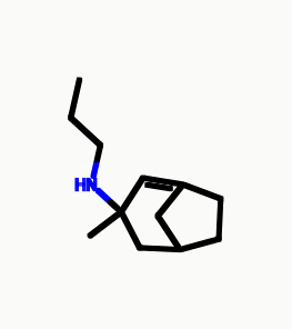 CCCNC1(C)C=C2CCC(C2)C1